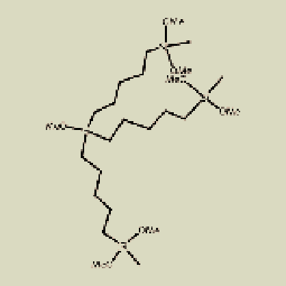 CO[Si](CCCCC[Si](C)(OC)OC)(CCCCC[Si](C)(OC)OC)CCCCC[Si](C)(OC)OC